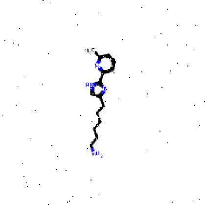 Cc1cccc(-c2nc(CCCCCCN)c[nH]2)n1